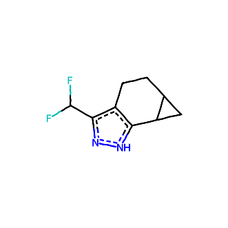 FC(F)c1n[nH]c2c1CCC1CC21